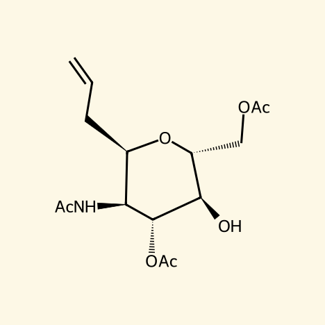 C=CC[C@H]1O[C@H](COC(C)=O)[C@@H](O)[C@H](OC(C)=O)[C@H]1NC(C)=O